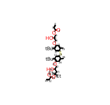 C=CC(=O)OCC(O)COc1cc(C)c(Sc2cc(C(C)(C)C)c(OCC(O)CC(CC)(CC)OC(=O)C=C)cc2C)cc1C(C)(C)C